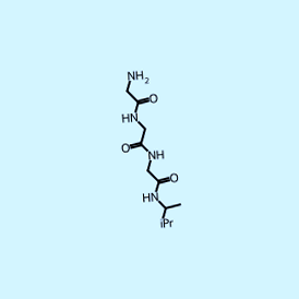 CC(C)C(C)NC(=O)CNC(=O)CNC(=O)CN